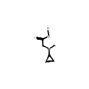 CCOC(=O)CN(C)C1CC1